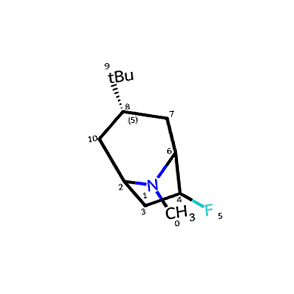 CN1C2CC(F)C1C[C@@H](C(C)(C)C)C2